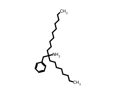 CCCCCCCCCCC(N)(CCCCCCCC)Cc1ccccc1